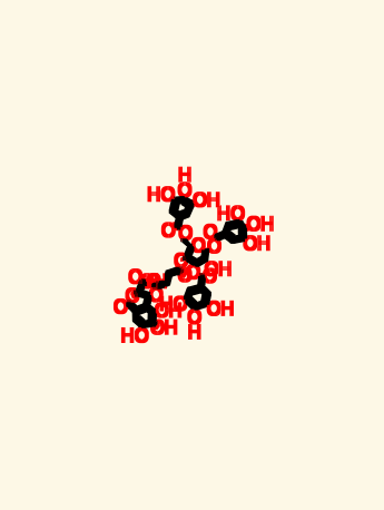 O=C(CCC(=O)O[C@H]1[C@H](OC(=O)c2cc(O)c(O)c(O)c2)[C@@H](O)[C@H](OC(=O)c2cc(O)c(O)c(O)c2)O[C@@H]1COC(=O)c1cc(O)c(O)c(O)c1)OC1c2c(cc(O)c(O)c2O)C(=O)OC1C(=O)O